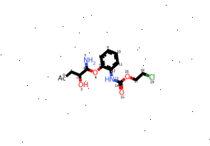 CC(=O)CC(O)C(N)Oc1ccccc1NC(=O)OCCCl